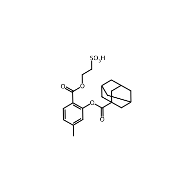 Cc1ccc(C(=O)OCCS(=O)(=O)O)c(OC(=O)C23CC4CC(CC(C4)C2)C3)c1